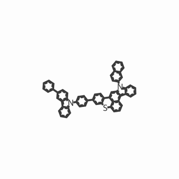 c1ccc(-c2ccc3c(c2)c2ccccc2n3-c2ccc(-c3ccc4c(c3)Sc3cccc5c3c-4cc3c5c4ccccc4n3-c3ccc4ccccc4c3)cc2)cc1